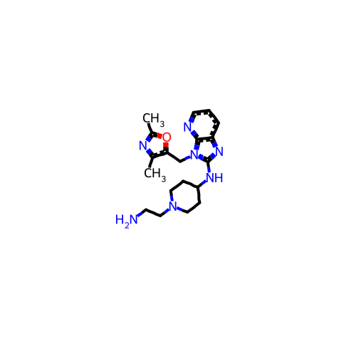 Cc1nc(C)c(Cn2c(NC3CCN(CCN)CC3)nc3cccnc32)o1